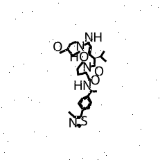 Cc1ncsc1-c1ccc(C(C)NC(=O)C2CCCN2C(=O)[C@@H](/C(O)=C/C(=N)N2CCC(C=O)CC2)C(C)C)cc1